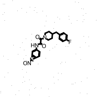 O=NN1c2ccc(NC(=O)C(=O)N3CCC(Cc4ccc(F)cc4)CC3)cc21